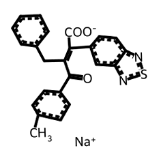 Cc1ccc(C(=O)C(Cc2ccccc2)=C(C(=O)[O-])c2ccc3nsnc3c2)cc1.[Na+]